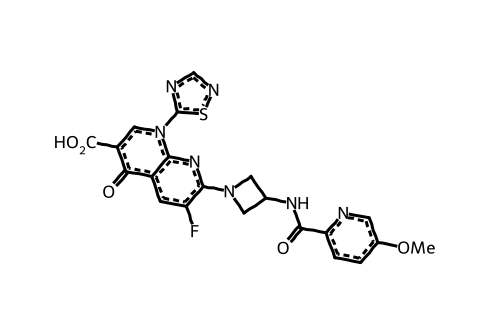 COc1ccc(C(=O)NC2CN(c3nc4c(cc3F)c(=O)c(C(=O)O)cn4-c3ncns3)C2)nc1